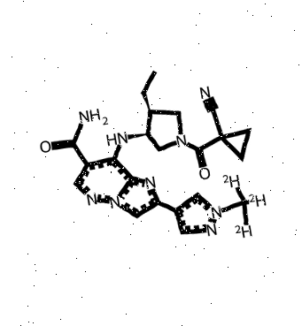 [2H]C([2H])([2H])n1cc(-c2cn3ncc(C(N)=O)c(N[C@@H]4CN(C(=O)C5(C#N)CC5)C[C@@H]4CC)c3n2)cn1